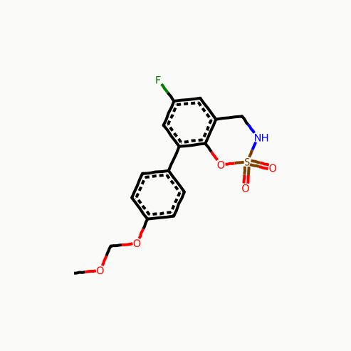 COCOc1ccc(-c2cc(F)cc3c2OS(=O)(=O)NC3)cc1